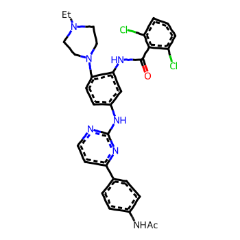 CCN1CCN(c2ccc(Nc3nccc(-c4ccc(NC(C)=O)cc4)n3)cc2NC(=O)c2c(Cl)cccc2Cl)CC1